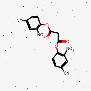 N#Cc1ccc(OC(=O)CC(=O)Oc2ccc(C#N)cc2[N+](=O)[O-])c([N+](=O)[O-])c1